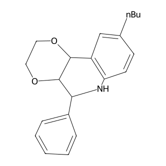 CCCCc1ccc2c(c1)C1OCCOC1C(c1ccccc1)N2